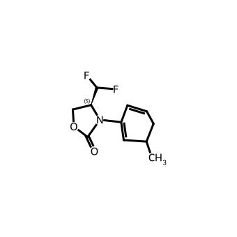 CC1C=C(N2C(=O)OC[C@H]2C(F)F)C=CC1